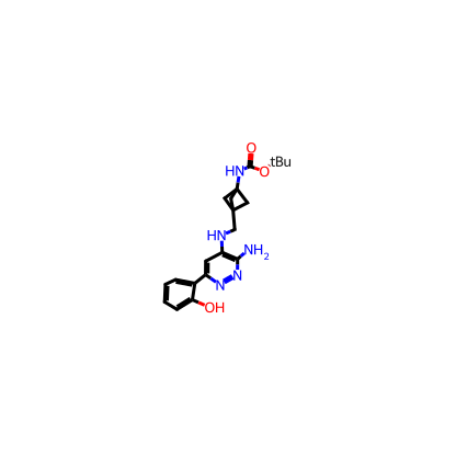 CC(C)(C)OC(=O)NC12CC(CNc3cc(-c4ccccc4O)nnc3N)(C1)C2